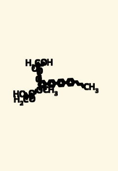 C=C(CO)C(=O)OCCOc1cc(OCCOC(=O)C(C)CO)cc(-c2ccc(-c3ccc(-c4ccc(CCCCC)cc4)cc3)cc2)c1C